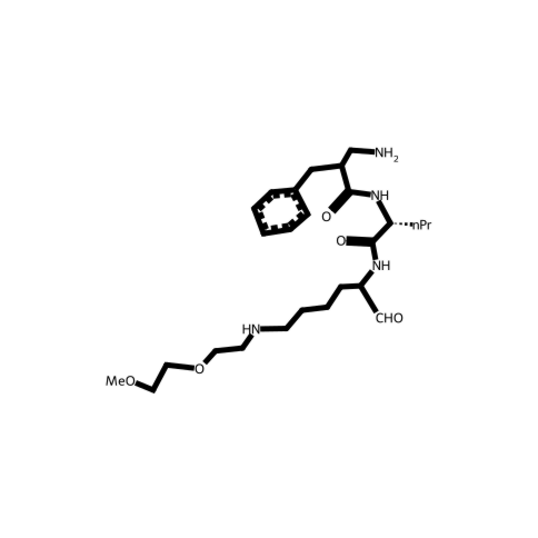 CCC[C@@H](NC(=O)C(CN)Cc1ccccc1)C(=O)NC(C=O)CCCCNCCOCCOC